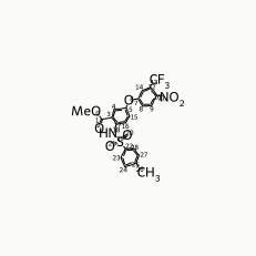 COC(=O)c1cc(Oc2ccc([N+](=O)[O-])c(C(F)(F)F)c2)ccc1NS(=O)(=O)c1ccc(C)cc1